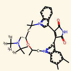 [2H]C([2H])([2H])N(C[C@@H]1CC(C)(C)n2cc(c3ccccc32)C2=C(C(=O)NC2=O)c2cn(c3cc(C)c(C)cc23)CC(C)O1)C([2H])(C)C